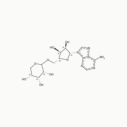 Nc1ncnc2c1ncn2[C@@H]1O[C@H](COC2OC[C@@H](O)[C@@H](O)[C@H]2O)[C@@H](O)[C@H]1O